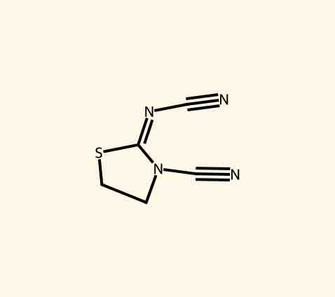 N#CN=C1SCCN1C#N